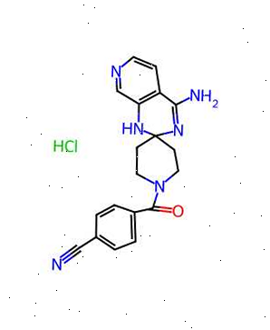 Cl.N#Cc1ccc(C(=O)N2CCC3(CC2)N=C(N)c2ccncc2N3)cc1